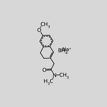 COc1ccc2c(c1)CCC(CC(=O)N(C)C)=C2.[BH4-].[Na+]